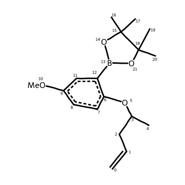 C=CCC(C)Oc1ccc(OC)cc1B1OC(C)(C)C(C)(C)O1